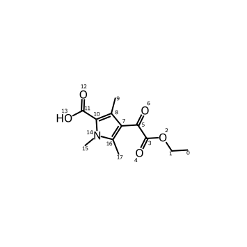 CCOC(=O)C(=O)c1c(C)c(C(=O)O)n(C)c1C